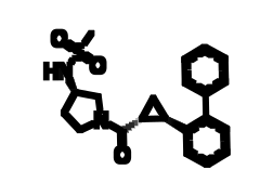 CS(=O)(=O)N[C@@H]1CCN(C(=O)[C@@H]2C[C@H]2c2ccccc2-c2ccccc2)C1